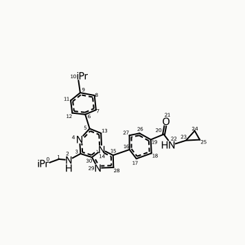 CC(C)CNc1nc(-c2ccc(C(C)C)cc2)cn2c(-c3ccc(C(=O)NC4CC4)cc3)cnc12